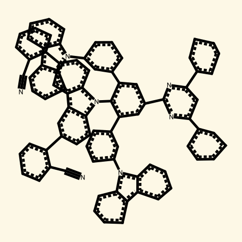 N#Cc1ccccc1-c1ccc2c(c1)c1cc(-c3ccccc3C#N)ccc1n2-c1c(-c2cccc(-n3c4ccccc4c4ccccc43)c2)cc(-c2nc(-c3ccccc3)cc(-c3ccccc3)n2)cc1-c1cccc(-n2c3ccccc3c3ccccc32)c1